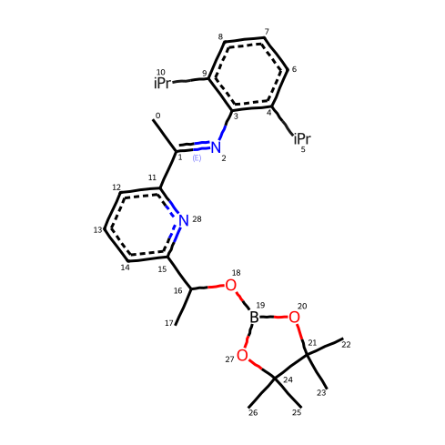 C/C(=N\c1c(C(C)C)cccc1C(C)C)c1cccc(C(C)OB2OC(C)(C)C(C)(C)O2)n1